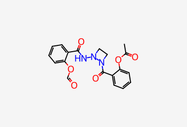 CC(=O)Oc1ccccc1C(=O)N1CCN1NC(=O)c1ccccc1OC=O